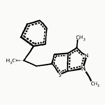 Cc1nn(C)c2sc([CH][C@H](C)c3ccccc3)cc12